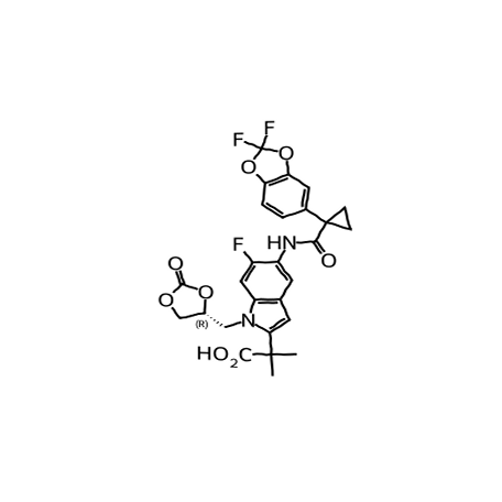 CC(C)(C(=O)O)c1cc2cc(NC(=O)C3(c4ccc5c(c4)OC(F)(F)O5)CC3)c(F)cc2n1C[C@@H]1COC(=O)O1